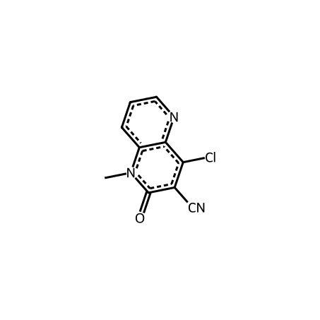 Cn1c(=O)c(C#N)c(Cl)c2ncccc21